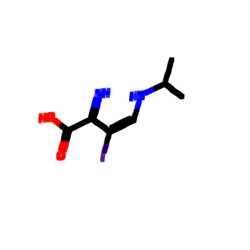 CC(C)N/C=C(/I)C(=N)C(=O)O